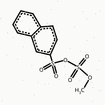 COS(=O)(=O)OS(=O)(=O)c1ccc2ccccc2c1